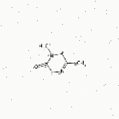 CC1=NCC(=O)N(C)C1